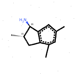 Cc1cc(C)c2c(c1)[C@H](N)[C@@H](C)C2